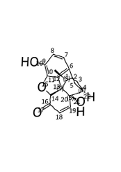 C[C@H]1CC[C@@H]2Cc3ccc(O)c4c3[C@]13C(O4)C(=O)C=C[C@@]23O